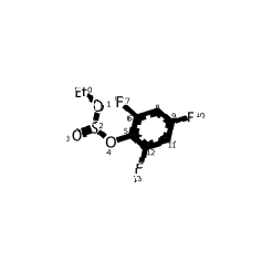 CCOS(=O)Oc1c(F)cc(F)cc1F